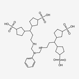 O=S(=O)(O)C1CCC(C(CCPCN(CPCCC(C2CCC(S(=O)(=O)O)C2)C2CCC(S(=O)(=O)O)C2)c2ccccc2)C2CCC(S(=O)(=O)O)C2)C1